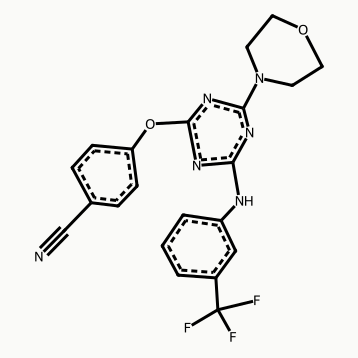 N#Cc1ccc(Oc2nc(Nc3cccc(C(F)(F)F)c3)nc(N3CCOCC3)n2)cc1